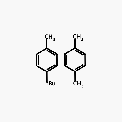 CCCCc1ccc(C)cc1.Cc1ccc(C)cc1